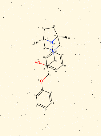 OC(COc1ccccc1)CN1C[C@H]2CC[C@@H](C1)N2c1ccccc1